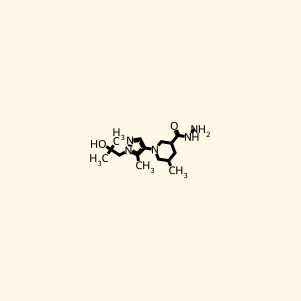 Cc1c(N2CC(C)CC(C(=O)NN)C2)cnn1CC(C)(C)O